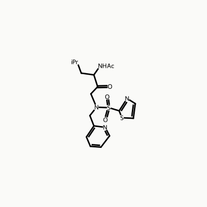 CC(=O)NC(CC(C)C)C(=O)CN(Cc1ccccn1)S(=O)(=O)c1nccs1